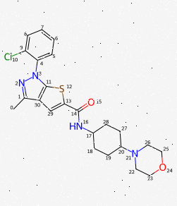 Cc1nn(-c2ccccc2Cl)c2sc(C(=O)NC3CCC(N4CCOCC4)CC3)cc12